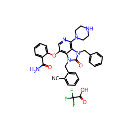 N#Cc1ccccc1Cn1c(=O)n(Cc2ccccc2)c2c(N3CCNCC3)ncc(Oc3ccccc3C(N)=O)c21.O=C(O)C(F)(F)F